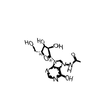 CC(=O)NN1CN([C@@H]2O[C@H](CO)C(O)C2O)c2ncnc(O)c21